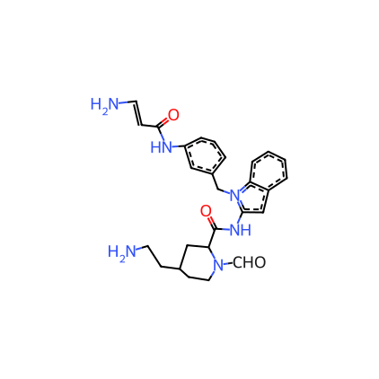 NC=CC(=O)Nc1cccc(Cn2c(NC(=O)C3CC(CCN)CCN3C=O)cc3ccccc32)c1